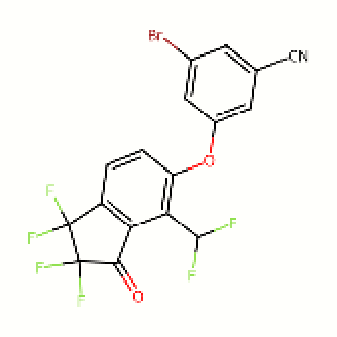 N#Cc1cc(Br)cc(Oc2ccc3c(c2C(F)F)C(=O)C(F)(F)C3(F)F)c1